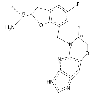 C[C@@H]1COc2cc3nc[nH]c3nc2N1Cc1cc(F)cc2c1OC([C@@H](C)N)C2